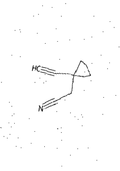 C#CC1(CC#N)CC1